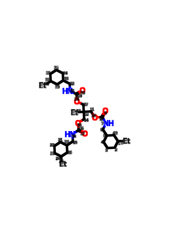 CCC1CCCC(CNC(=O)OCC(CC)(COC(=O)NCC2CCCC(CC)C2)COC(=O)NCC2CCCC(CC)C2)C1